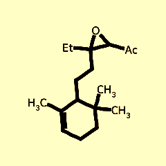 CCC1(CCC2C(C)=CCCC2(C)C)OC1C(C)=O